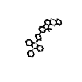 CC1(C)c2cc(-c3ccc(N4c5ccccc5N(c5ccccc5)c5ccccc54)cc3)ccc2-c2ccc3c(c21)Sc1ccccc1S3